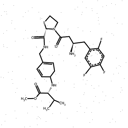 COC(=O)[C@H](NC1C=CC(CNC(=O)[C@@H]2SCCN2C(=O)C[C@H](N)Cc2cc(F)c(F)cc2F)=CC1)C(C)C